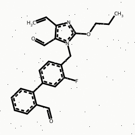 C=Cc1nc(OCCC)n(Cc2ccc(-c3ccccc3C=O)cc2F)c1C=O